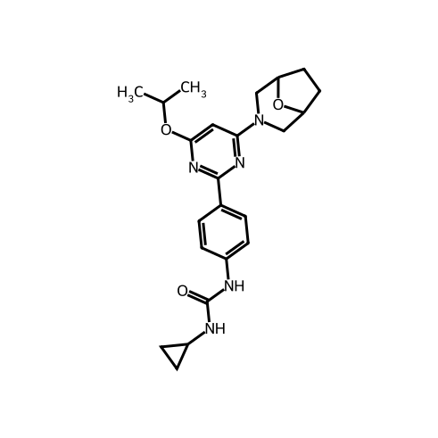 CC(C)Oc1cc(N2CC3CCC(C2)O3)nc(-c2ccc(NC(=O)NC3CC3)cc2)n1